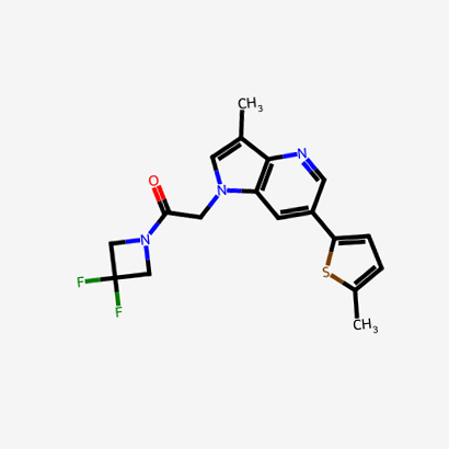 Cc1ccc(-c2cnc3c(C)cn(CC(=O)N4CC(F)(F)C4)c3c2)s1